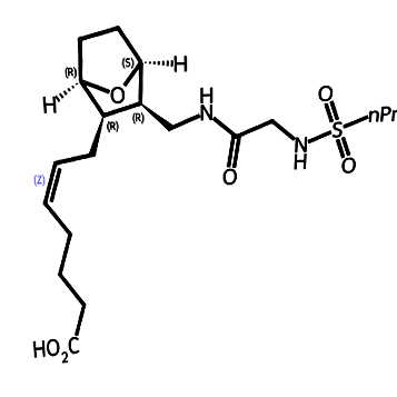 CCCS(=O)(=O)NCC(=O)NC[C@H]1[C@@H](C/C=C\CCCC(=O)O)[C@H]2CC[C@@H]1O2